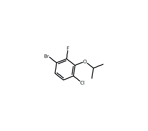 CC(C)Oc1c(Cl)ccc(Br)c1F